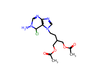 CC(=O)OCC(CCn1cnc2c1C(Cl)N(N)C=N2)COC(C)=O